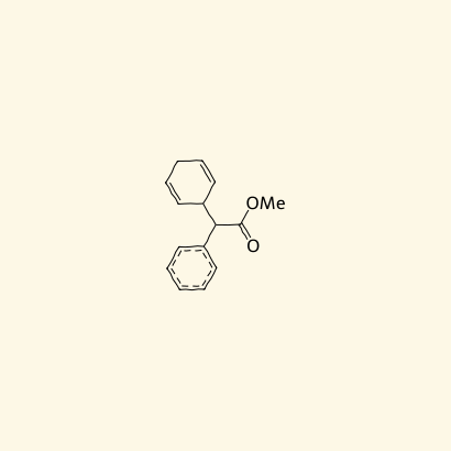 COC(=O)C(c1ccccc1)C1C=CCC=C1